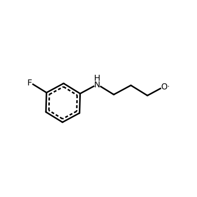 [O]CCCNc1cccc(F)c1